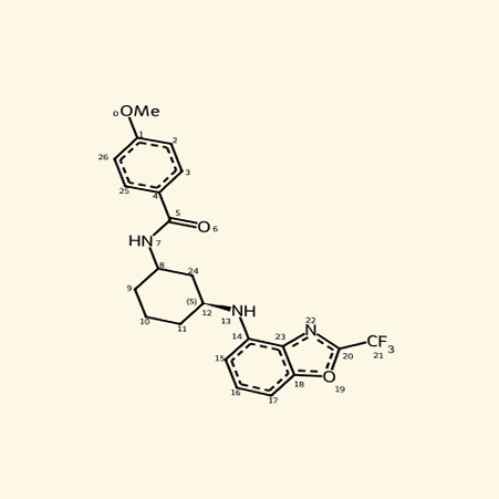 COc1ccc(C(=O)NC2CCC[C@H](Nc3cccc4oc(C(F)(F)F)nc34)C2)cc1